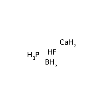 B.F.P.[CaH2]